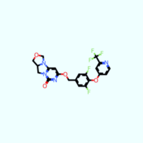 O=c1nc(OCc2cc(F)c(Oc3ccnc(C(F)(F)F)c3)c(F)c2)cc2n1CC1COCN21